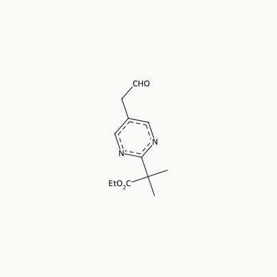 CCOC(=O)C(C)(C)c1ncc(CC=O)cn1